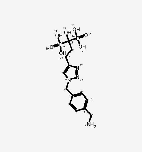 NCc1ccc(Cn2cc(CCC(O)(P(=O)(O)O)P(=O)(O)O)nn2)cc1